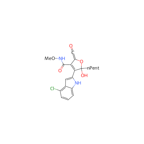 CCCCCC1(O)OC(=C=O)C(C(=O)NOC)=C1c1cc2c(Cl)cccc2[nH]1